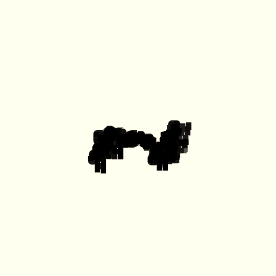 COc1cc(N2CCC(CN3CCN(CC(=O)Nc4cccc5c4C(=O)N(C4CCC(=O)NC4=O)C5=O)CC3)CC2)ccc1Nc1ncc(Cl)c(Nc2ccccc2N(C)[SH]=O)n1